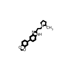 C[C@@H]1CCCN1CCc1nc2cc(-c3ccc4c(c3)OCO4)ccc2[nH]1